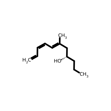 C=C/C=C\C=C(/C)C[C@@H](O)CCC